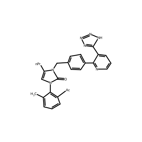 CCCc1cn(-c2c(C)cccc2C(C)=O)c(=O)n1Cc1ccc(-c2ncccc2-c2nnn[nH]2)cc1